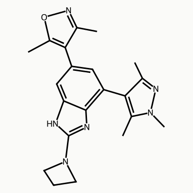 Cc1noc(C)c1-c1cc(-c2c(C)nn(C)c2C)c2nc(N3CCC3)[nH]c2c1